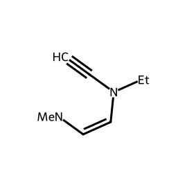 C#CN(/C=C\NC)CC